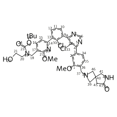 COc1cc(-c2ncnc(-c3cccc(-c4ccc(CN(CCO)C(=O)OC(C)(C)C)c(OC)n4)c3Cl)c2Cl)ccc1CN1CC2(CNC(=O)C2)C1